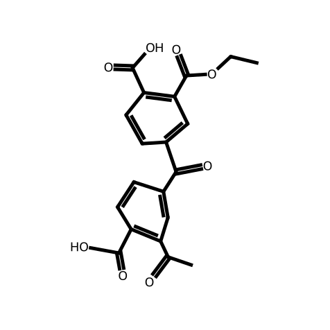 CCOC(=O)c1cc(C(=O)c2ccc(C(=O)O)c(C(C)=O)c2)ccc1C(=O)O